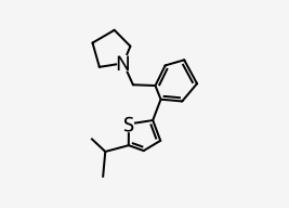 CC(C)c1ccc(-c2ccccc2CN2CCCC2)s1